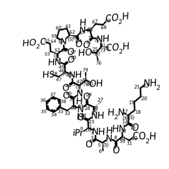 CC(C)[C@H](NC(=O)[C@H](C)NC(=O)[C@H](CC(=O)O)NC(=O)[C@@H](N)CCCCN)C(=O)N[C@@H](C)C(=O)N[C@@H](Cc1ccccc1)C(=O)N[C@H](C(=O)N[C@@H](CS)C(=O)N[C@@H](CCC(=O)O)C(=O)N1CCC[C@H]1C(=O)N[C@@H](CCC(=O)O)C(=O)N[C@H](C(=O)O)[C@@H](C)O)[C@@H](C)O